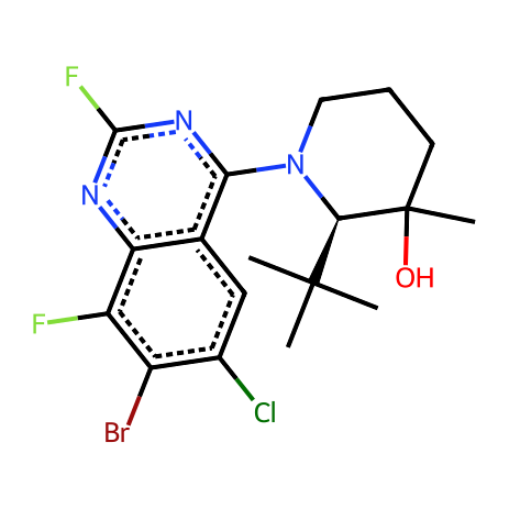 CC(C)(C)[C@H]1N(c2nc(F)nc3c(F)c(Br)c(Cl)cc23)CCCC1(C)O